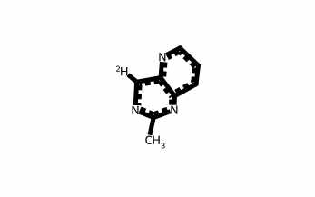 [2H]c1nc(C)nc2cccnc12